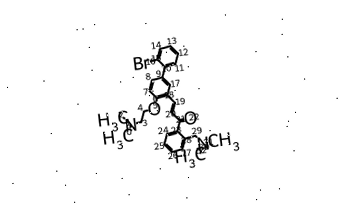 CN(C)CCOc1ccc(-c2ccccc2Br)cc1C=CC(=O)c1ccccc1CN(C)C